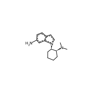 CN(C)[C@H]1CCCC[C@H]1n1ccc2ccc(N)cc21